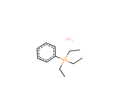 CC[P+](CC)(CC)c1ccccc1.[BH4-]